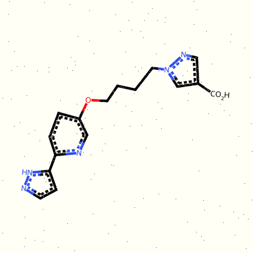 O=C(O)c1cnn(CCCCOc2ccc(-c3ccn[nH]3)nc2)c1